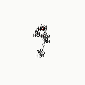 CC[C@H]1OC(=O)[C@H](C)[C@@H](O[C@H]2C[C@@](C)(OC)[C@@H](OC(=O)NCCOCCCc3ccc4c(c3)c(=O)c(C(=O)O)cn4N(C)C)[C@H](C)O2)[C@H](C)[C@@H](O[C@@H]2O[C@H](C)C[C@H](N(C)C)[C@H]2O)[C@](C)(O)C[C@@H](C)[C@@H]2O[C@H](C)O[C@H](C2C)[C@]1(C)O